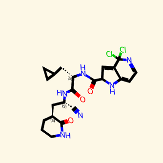 N#C[C@H](C[C@@H]1CCCNC1=O)NC(=O)[C@H](CC1CC1)NC(=O)C1C=C2C(=CC=NC2(Cl)Cl)N1